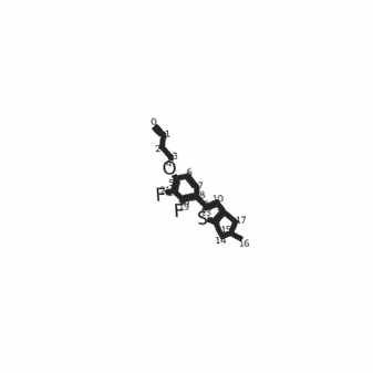 C=CCCOc1ccc(-c2cc3c(s2)CC(C)C3)c(F)c1F